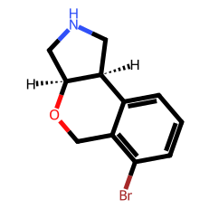 Brc1cccc2c1CO[C@H]1CNC[C@@H]21